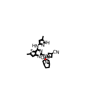 Cc1cc(Nc2nc(NC3CC4CCC(C3)N4[S+]([O-])N3CC(C#N)C3)nc3cc(C)sc23)n[nH]1